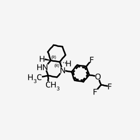 CC1(C)CN(c2ccc(OC(F)F)c(F)c2)[C@@H]2CCCC[C@H]2N1